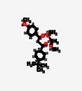 COc1ccc(C(=O)CC(=O)c2ccc(C(C)(C)C)cc2)cc1.[SiH3]O[SiH2]O[SiH3]